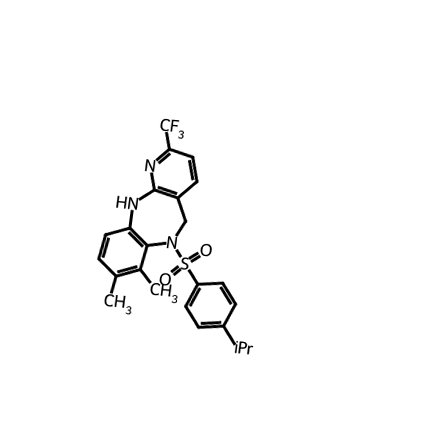 Cc1ccc2c(c1C)N(S(=O)(=O)c1ccc(C(C)C)cc1)Cc1ccc(C(F)(F)F)nc1N2